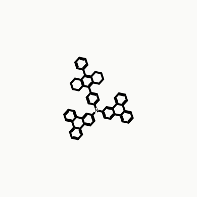 c1ccc(-c2c3c(c(-c4ccc(N(c5ccc6c7ccccc7c7ccccc7c6c5)c5ccc6c7ccccc7c7ccccc7c6c5)cc4)c4c2CCCC4)CCCC3)cc1